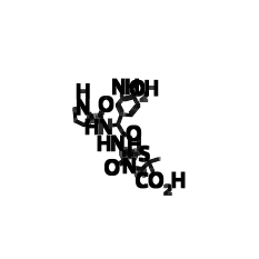 CC1(C)S[C@@H]2[C@H](NC(=O)C(NC(=O)[C@@H]3CCCN3)c3ccc(O)c(N)c3)C(=O)N2[C@H]1C(=O)O